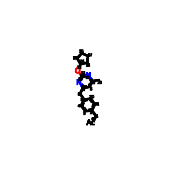 CC(=O)Cc1ccc(Cc2cc(C)nc(OC3CCCC3)n2)cc1